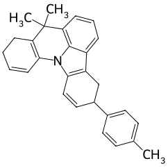 Cc1ccc(C2C=Cc3c(c4cccc5c4n3C3=C(CCC=C3)C5(C)C)C2)cc1